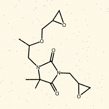 CC(CN1C(=O)N(CC2CO2)C(=O)C1(C)C)OCC1CO1